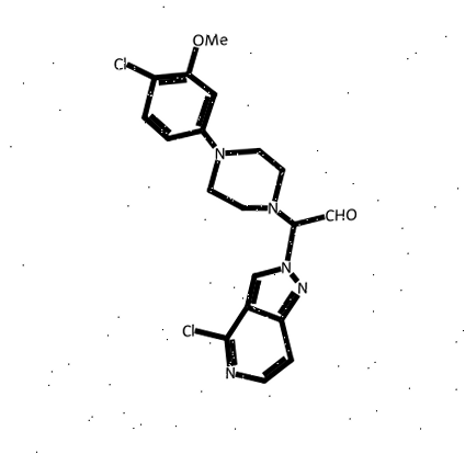 COc1cc(N2CCN(C(C=O)n3cc4c(Cl)nccc4n3)CC2)ccc1Cl